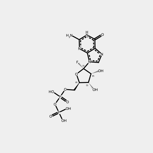 Nc1nc2c(ncn2[C@]2(F)O[C@H](COP(=O)(O)OP(=O)(O)O)[C@@H](O)[C@H]2O)c(=O)[nH]1